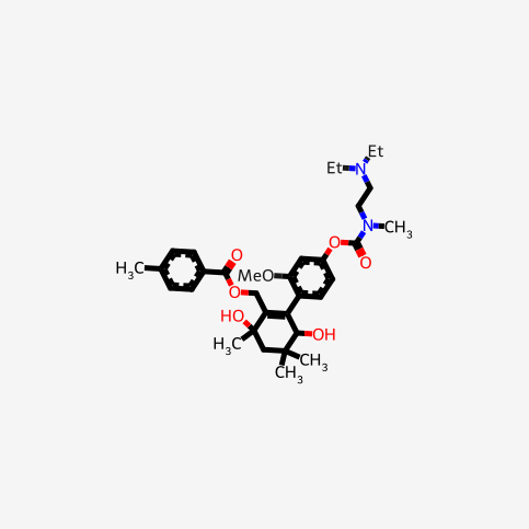 CCN(CC)CCN(C)C(=O)Oc1ccc(C2=C(COC(=O)c3ccc(C)cc3)C(C)(O)CC(C)(C)C2O)c(OC)c1